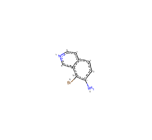 Nc1ccc2ccncc2c1Br